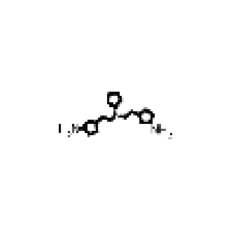 NC1CCC(CCN(CCC2CCC(N)C2)C2CCCC2)C1